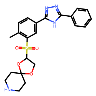 Cc1ccc(-c2nnc(-c3ccccc3)[nH]2)cc1S(=O)(=O)C1COC2(CCNCC2)O1